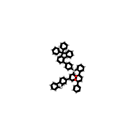 c1ccc(-c2ccc(-c3ccccc3N(c3ccc(-c4cccc5c4-c4ccccc4C5(c4ccccc4)c4ccccc4)cc3)c3cccc(-c4ccc5c(c4)oc4ccccc45)c3)cc2)cc1